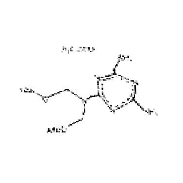 C=O.CCCCOCN(COC)c1nc(N)nc(N)n1